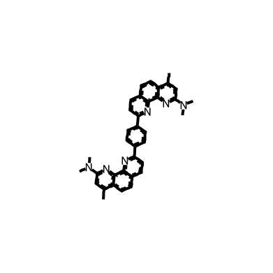 Cc1cc(N(C)C)nc2c1ccc1ccc(-c3ccc(-c4ccc5ccc6c(C)cc(N(C)C)nc6c5n4)cc3)nc12